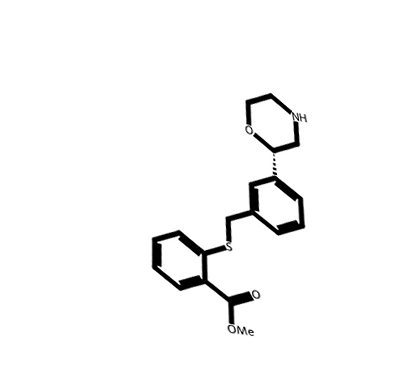 COC(=O)c1ccccc1SCc1cccc([C@H]2CNCCO2)c1